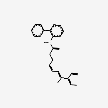 C=CC(=C\C)/C(C)=C/C=C\CCC(=C)N(C)c1ccccc1-c1ccccc1